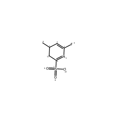 CC1C=C(F)N=C(S(=O)(=O)Cl)C1